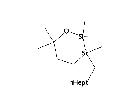 CCCCCCCC[Si]1(C)CCC(C)(C)O[Si]1(C)C